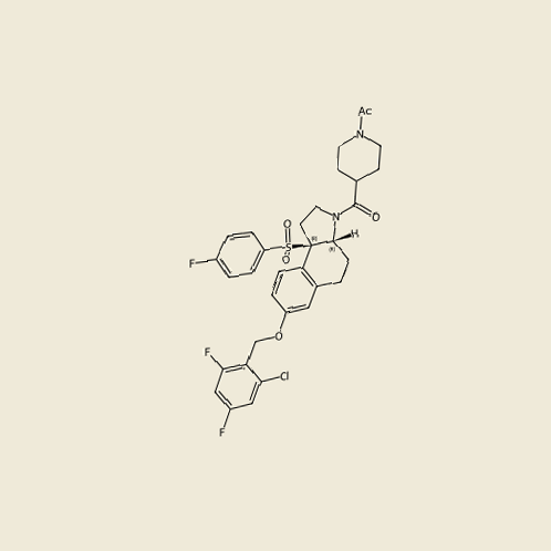 CC(=O)N1CCC(C(=O)N2CC[C@@]3(S(=O)(=O)c4ccc(F)cc4)c4ccc(OCc5c(F)cc(F)cc5Cl)cc4CC[C@@H]23)CC1